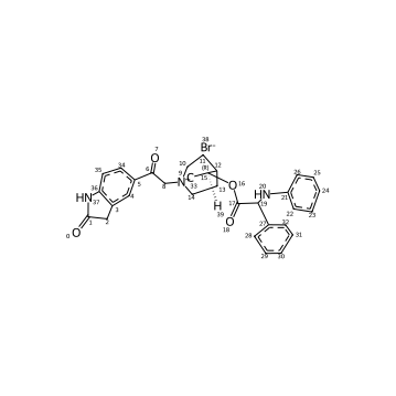 O=C1Cc2cc(C(=O)C[N+]34CCC(CC3)[C@@H](OC(=O)C(Nc3ccccc3)c3ccccc3)C4)ccc2N1.[Br-]